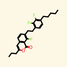 CCCCCc1ccc(CCc2ccc3cc(CCC)oc(=O)c3c2F)c(F)c1F